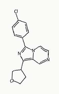 Clc1ccc(-c2nc(C3CCOC3)c3cnccn23)cc1